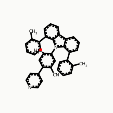 Cc1ccccc1-c1cccc2c3cccc(-c4ccccc4C)c3n(-c3cc(C#N)c(-c4ccncc4)cc3C)c12